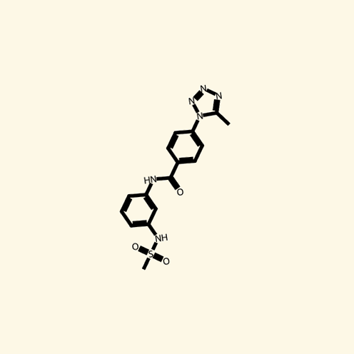 Cc1nnnn1-c1ccc(C(=O)Nc2cccc(NS(C)(=O)=O)c2)cc1